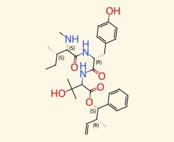 C=C[C@@H](C)[C@H](OC(=O)C(NC(=O)[C@@H](Cc1ccc(O)cc1)NC(=O)[C@@H](NC)[C@@H](C)CC)C(C)(C)O)c1ccccc1